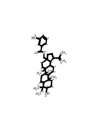 C=C(C)C1CCC2(COC(=O)c3cccc(O)c3)CCC3(C)C(CCC4C5(C)CCC(O)C(C)(C)C5CCC43C)C12